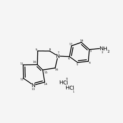 Cl.Cl.Nc1ccc(N2CCc3ccncc3C2)cc1